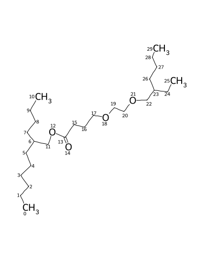 CCCCCCC(CCCC)COC(=O)CCCOCCOCC(CC)CCCC